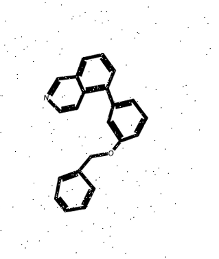 c1ccc(COc2cccc(-c3cccc4cnccc34)c2)cc1